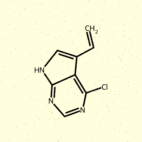 C=Cc1c[nH]c2ncnc(Cl)c12